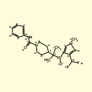 Cn1cc([S+]([O-])C(C)(C)C2CCN(C(=O)Nc3cccnc3)CC2)c(C(F)F)n1